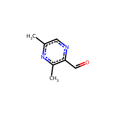 Cc1cnc(C=O)c(C)n1